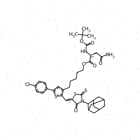 CC(C)(C)OC(=O)N[C@@H](CC(N)=O)C(=O)OCCCCCc1cc(-c2ccc(Cl)cc2)sc1/C=C1\SC(=S)N(C2C3CC4CC(C3)CC2C4)C1=O